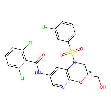 O=C(Nc1cnc2c(c1)N(S(=O)(=O)c1cccc(Cl)c1)C[C@H](CO)O2)c1c(Cl)cccc1Cl